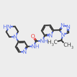 CC(C)n1cnnc1-c1cccc(NC(=O)Nc2cc(N3CCNCC3)ccn2)n1